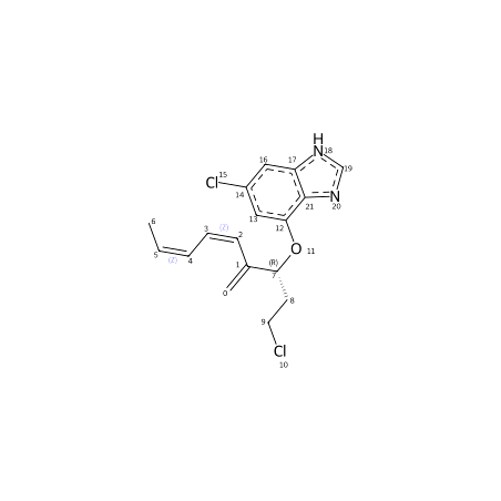 C=C(/C=C\C=C/C)[C@@H](CCCl)Oc1cc(Cl)cc2[nH]cnc12